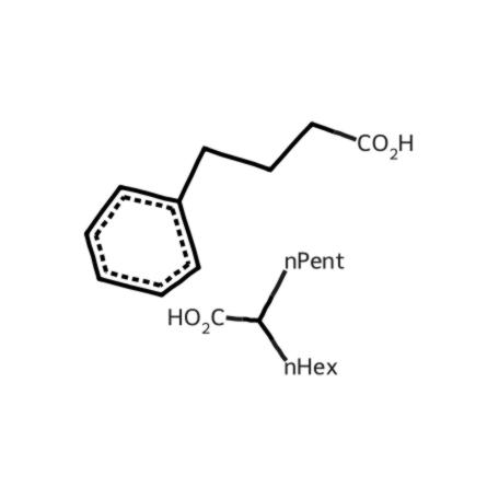 CCCCCCC(CCCCC)C(=O)O.O=C(O)CCCc1ccccc1